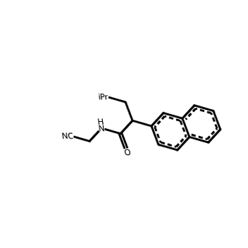 CC(C)CC(C(=O)NCC#N)c1ccc2ccccc2c1